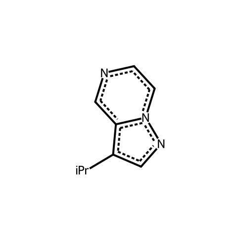 CC(C)c1cnn2ccncc12